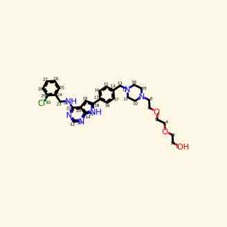 OCCOCCOCCN1CCN(Cc2ccc(-c3cc4c(NCc5ccccc5Cl)ncnc4[nH]3)cc2)CC1